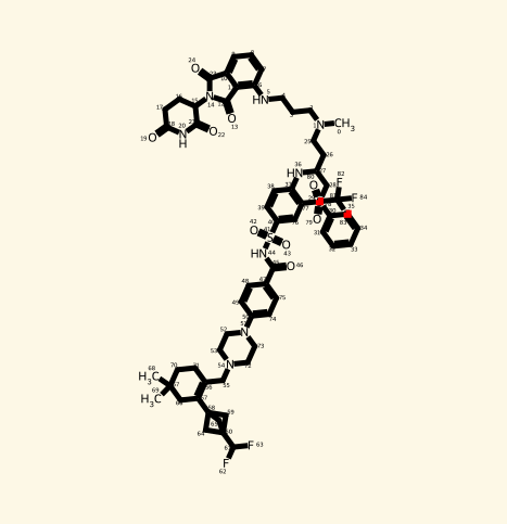 CN(CCCNc1cccc2c1C(=O)N(C1CCC(=O)NC1=O)C2=O)CCC(CSc1ccccc1)Nc1ccc(S(=O)(=O)NC(=O)c2ccc(N3CCN(CC4=C(C56CC(C(F)F)(C5)C6)CC(C)(C)CC4)CC3)cc2)cc1S(=O)(=O)C(F)(F)F